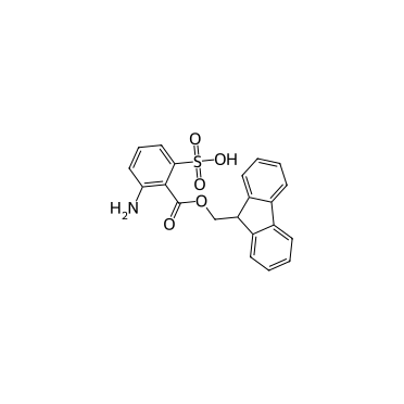 Nc1cccc(S(=O)(=O)O)c1C(=O)OCC1c2ccccc2-c2ccccc21